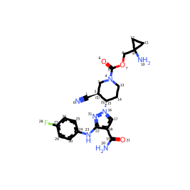 N#C[C@H]1CN(C(=O)OCC2(N)CC2)CC[C@@H]1n1cc(C(N)=O)c(Nc2ccc(F)cc2)n1